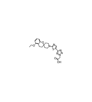 CCOc1cccc2c1CCC1(CCN(c3ncc(-c4nnn(CC(=O)O)n4)s3)CC1)O2